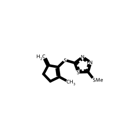 C=C1CCC(C)=C1Sc1nnc(SC)s1